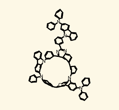 C1=c2c3n(c4cc(N(c5ccccc5)c5ccccc5)ccc24)-c2cccc(c2)-c2ccc4nc(-c5cccc(-n6c7ccccc7c7ccc(N(c8ccccc8)c8ccccc8)cc76)c5)nc(c4c2)-c2cccc(c2)-n2c4ccccc4c4ccc(cc42)N(c2ccccc2)c2ccc(cc2)C1CC=3